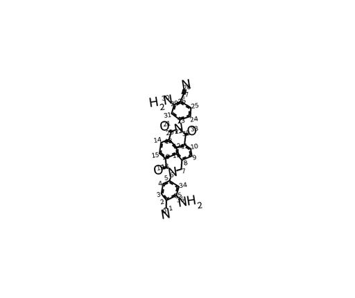 N#Cc1ccc(N2Cc3ccc4c5c(ccc(c35)C2=O)C(=O)N(c2ccc(C#N)c(N)c2)C4=O)cc1N